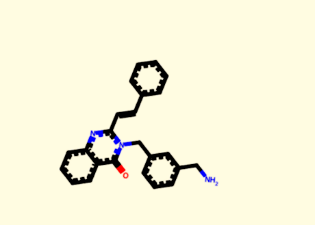 NCc1cccc(Cn2c(/C=C/c3ccccc3)nc3ccccc3c2=O)c1